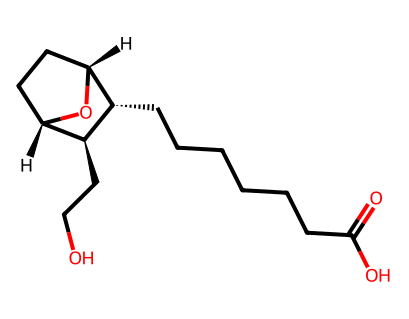 O=C(O)CCCCCC[C@@H]1[C@@H](CCO)[C@@H]2CC[C@H]1O2